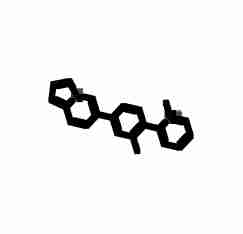 Cc1cc(-c2ccc3cccn3c2)ccc1-c1cccc[n+]1C